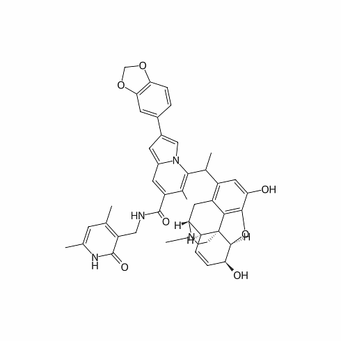 Cc1cc(C)c(CNC(=O)c2cc3cc(-c4ccc5c(c4)OCO5)cn3c(C(C)c3cc(O)c4c5c3C[C@@H]3[C@@H]6C=C[C@H](O)[C@H](O4)[C@]56CCN3C)c2C)c(=O)[nH]1